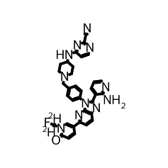 [2H]C([2H])(F)n1cc(-c2ccc3nc(-c4cccnc4N)n(-c4ccc(CN5CCC(Nc6ccnc(C#N)n6)CC5)cc4)c3n2)ccc1=O